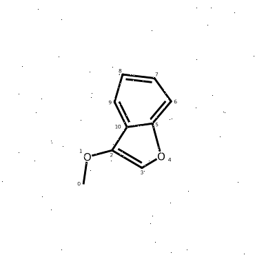 COc1coc2cc[c]cc12